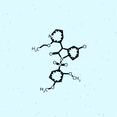 CCOc1ncccc1C1C(=O)N(S(=O)(=O)c2ccc(OC)cc2OC)c2ccc(Cl)cc21